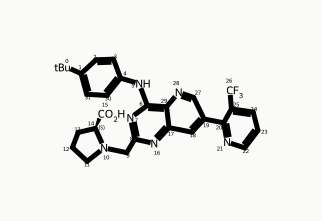 CC(C)(C)c1ccc(Nc2nc(CN3CCC[C@H]3C(=O)O)nc3cc(-c4ncccc4C(F)(F)F)cnc23)cc1